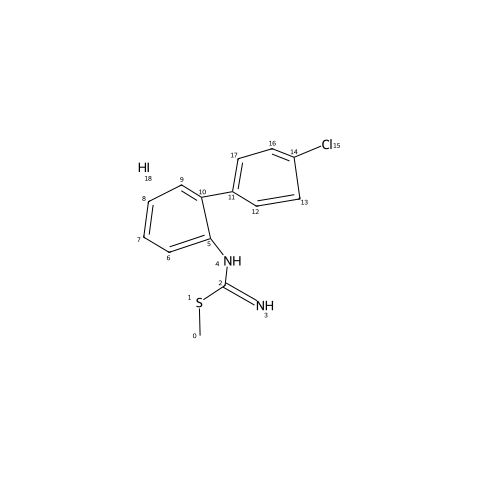 CSC(=N)Nc1ccccc1-c1ccc(Cl)cc1.I